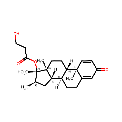 C[C@@H]1C[C@H]2[C@@H]3CCC4=CC(=O)C=C[C@]4(C)[C@H]3CC[C@]2(C)[C@]1(OC(=O)CCO)C(=O)O